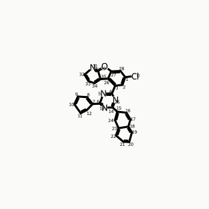 Clc1cc(-c2nc(-c3ccccc3)nc(-c3ccc4ccccc4c3)n2)c2c(c1)oc1ncccc12